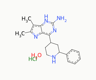 Cc1nc2c(C3CCNC(c4ccccc4)C3)nc(N)[nH]c-2c1C.Cl.O